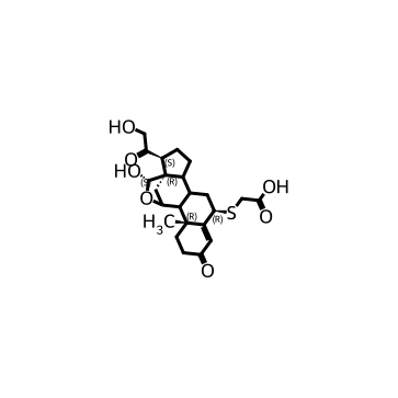 C[C@]12CCC(=O)C=C1[C@H](SCC(=O)O)CC1C3CC[C@H](C(=O)CO)[C@@]34CC(O[C@@H]4O)C12